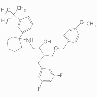 COc1ccc(COCC(Cc2cc(F)cc(F)c2)C(O)CNC2(c3cccc(C(C)(C)C)c3)CCCCC2)cc1